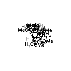 CO[Si](C)(C)OC1(O[Si](C)(C)OC)CC[Si](O[Si](C)(C)OC)(O[Si](C)(C)OC)[Si](O[Si](C)(C)OC)(O[Si](C)(C)OC)O1